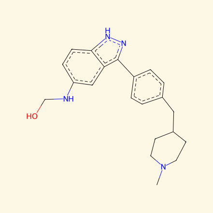 CN1CCC(Cc2ccc(-c3n[nH]c4ccc(NCO)cc34)cc2)CC1